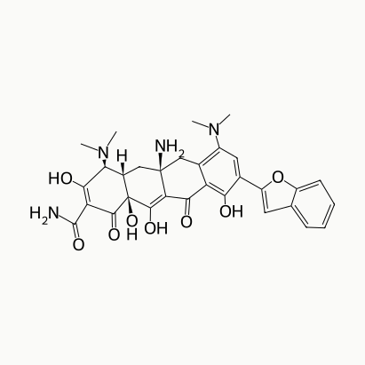 CN(C)c1cc(-c2cc3ccccc3o2)c(O)c2c1C[C@@]1(N)C[C@H]3[C@H](N(C)C)C(O)=C(C(N)=O)C(=O)[C@@]3(O)C(O)=C1C2=O